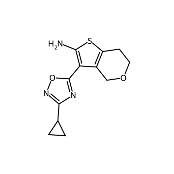 Nc1sc2c(c1-c1nc(C3CC3)no1)COCC2